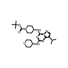 CC(C)c1cnn2c(NC3CCN(C(=O)OC(C)(C)C)CC3)nc(NC3CCOCC3)nc12